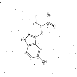 C=N[C@@H](Cc1c[nH]c2ccc(O)cc12)C(=O)O